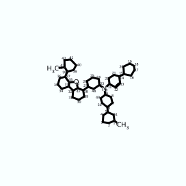 CC1CCCC(C2CCC(N(C3C=CC(C4CCCCC4)CC3)C3CCCC(C4CCCC5C6CCCC(C7CCCCC7C)C6OC45)C3)CC2)C1